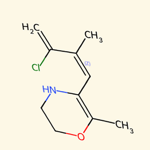 C=C(Cl)/C(C)=C\C1=C(C)OCCN1